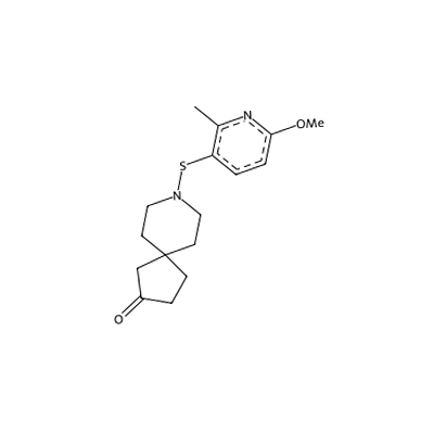 COc1ccc(SN2CCC3(CCC(=O)C3)CC2)c(C)n1